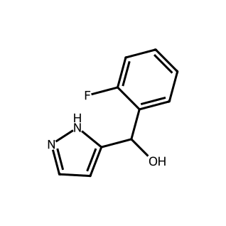 OC(c1ccn[nH]1)c1ccccc1F